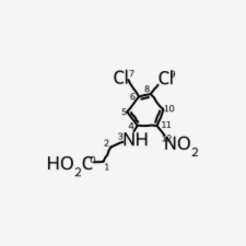 O=C(O)CCNc1cc(Cl)c(Cl)cc1[N+](=O)[O-]